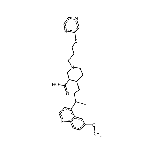 COc1ccc2nccc(C(F)CC[C@@H]3CCN(CCCSc4cnccn4)C[C@@H]3C(=O)O)c2c1